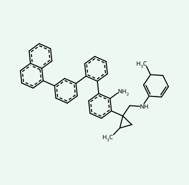 CC1C=C(NCC2(c3cccc(-c4ccccc4-c4cccc(-c5cccc6ccccc56)c4)c3N)CC2C)C=CC1